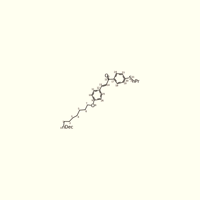 CCCCCCCCCCCCCCCCCOc1ccc(C=CC(=O)c2ccc(SCCC)cc2)cc1